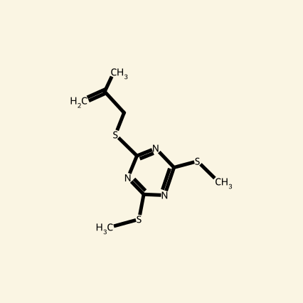 C=C(C)CSc1nc(SC)nc(SC)n1